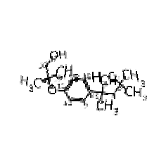 CC(C)(C)CC(C)(C)c1ccc(OC(C)(C)CO)cc1